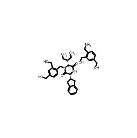 CCC(CC)[C@@H]1C(=O)N[C@H](C2Cc3ccccc3C2)C(=O)N1Cc1ccc(CO)cc1CO.NCc1ccc(CO)cc1CO